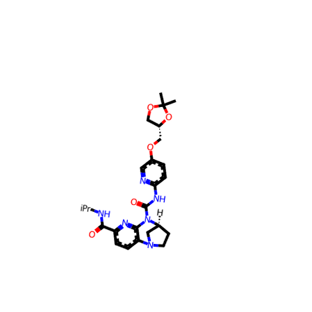 CC(C)NC(=O)c1ccc2c(n1)N(C(=O)Nc1ccc(OC[C@@H]3COC(C)(C)O3)cn1)[C@H]1CCN2C1